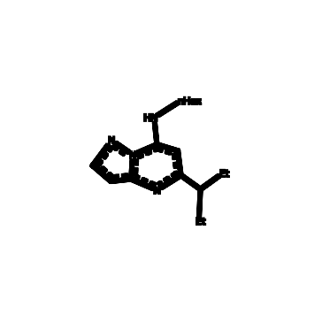 CCCCCCNc1cc(C(CC)CC)nc2ccnn12